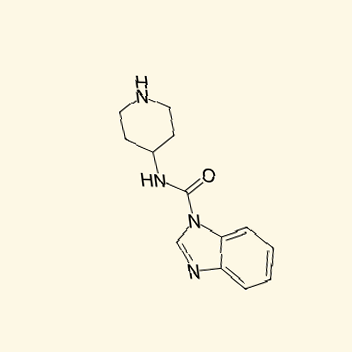 O=C(NC1CCNCC1)n1cnc2ccccc21